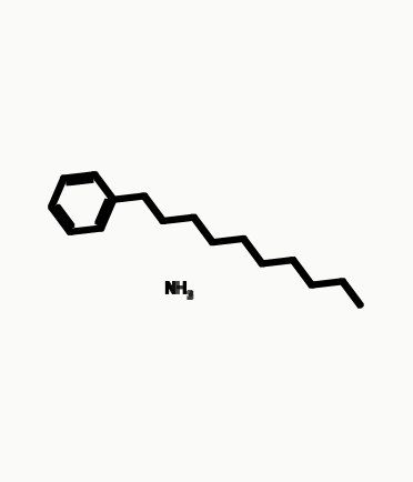 CCCCCCCCCCc1ccccc1.N